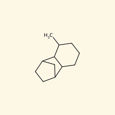 CC1CCCC2C3CCC(C3)C12